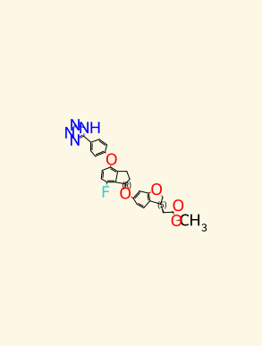 COC(=O)C[C@@H]1COc2cc(O[C@@H]3CCc4c(Oc5ccc(-c6nnn[nH]6)cc5)ccc(F)c43)ccc21